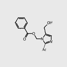 CC(=O)c1ncc(CO)n1COC(=O)c1ccccc1